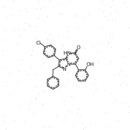 O=c1cc(-c2ccccc2O)n2nc(Cc3ccccc3)c(-c3ccc(Cl)cc3)c2[nH]1